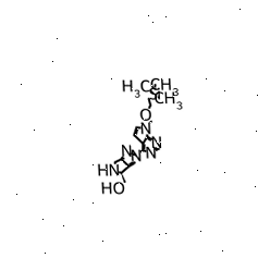 C[Si](C)(C)CCOCn1ccc2c(-n3cc4c(n3)CN[C@@H]4CO)ncnc21